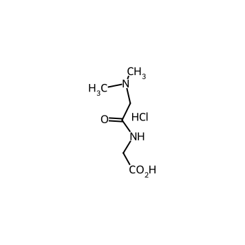 CN(C)CC(=O)NCC(=O)O.Cl